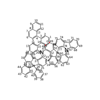 c1ccc(-c2cccc3ccccc23)c(-c2ccccc2N(c2cccc3c2-c2ccccc2C32c3ccccc3-c3ccccc32)c2cccc3c2-c2ccccc2C32c3ccccc3-n3c4ccccc4c4cccc2c43)c1